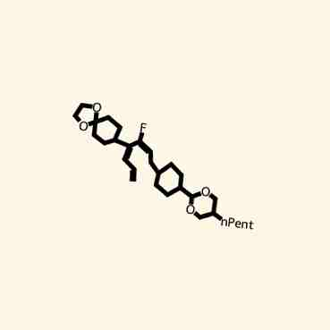 C=C/C=C(\C(F)=C/CC1CCC(C2OCC(CCCCC)CO2)CC1)C1CCC2(CC1)OCCO2